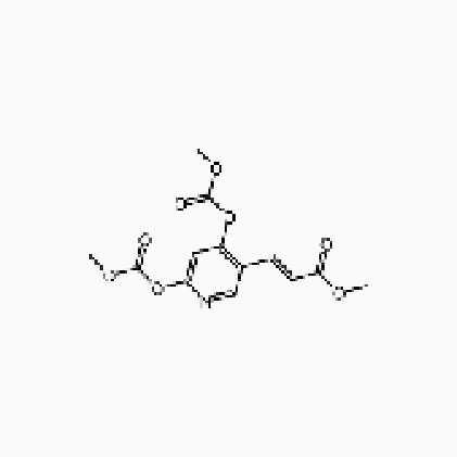 COC(=O)C=Cc1cnc(OC(=O)OC)cc1OC(=O)OC